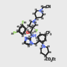 CCOC(=O)C1CCN(c2cc(C(F)(F)F)ccc2Cn2ccnc2NC(=O)[C@]2(F)CN(C3CCN(CC#N)CC3)C[C@H]2c2ccc(F)cc2F)CC1